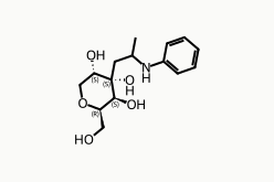 CC(C[C@]1(O)[C@@H](O)CO[C@H](CO)[C@@H]1O)Nc1ccccc1